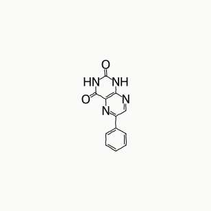 O=c1[nH]c(=O)c2nc(-c3ccccc3)cnc2[nH]1